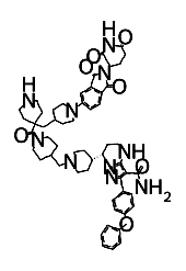 NC(=O)c1c(-c2ccc(Oc3ccccc3)cc2)nn2c1NCC[C@H]2C1CCN(CC2CCN(C(=O)C3(CC4CCN(c5ccc6c(c5)C(=O)N(C5CCC(=O)NC5=O)C6=O)CC4)CCNCC3)CC2)CC1